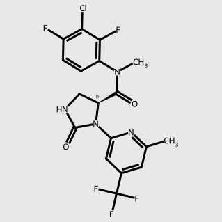 Cc1cc(C(F)(F)F)cc(N2C(=O)NC[C@H]2C(=O)N(C)c2ccc(F)c(Cl)c2F)n1